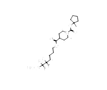 CC1(OC(=O)N2CCC(C(=O)OCCCCC(F)(F)C(F)(F)S(=O)(=O)O)CC2)CCCC1